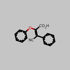 N#CC(=C(Oc1ccccc1)C(=O)O)c1ccccc1